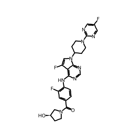 O=C(c1ccc(Nc2ncnc3c2c(F)cn3C2CCN(c3ncc(F)cn3)CC2)c(F)c1)N1CC[C@@H](O)C1